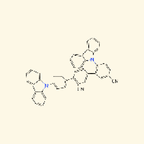 N#Cc1ccc(-n2c3ccccc3c3ccccc32)c(-c2ccc(-c3ccc(-n4c5ccccc5c5ccccc54)cc3)c(C#N)c2)c1